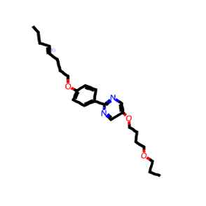 CCC/C=C/CCCOc1ccc(-c2ncc(OCCCCOCCC)cn2)cc1